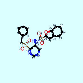 O=S(=O)(Cc1ccccc1)c1ncncc1NS(=O)(=O)c1cc2ccccc2o1